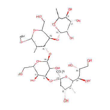 CC1O[C@@H](O[C@@H]2C(CO)OC(OC(C)(C)C)C(C)[C@H]2O[C@@H]2OC(CO)[C@H](O)[C@H](O[C@]3(C(=O)O)C[C@@H](O)[C@@H](C)C([C@H](O)[C@H](O)CO)O3)C2O)C(O)[C@@H](O)[C@@H]1O